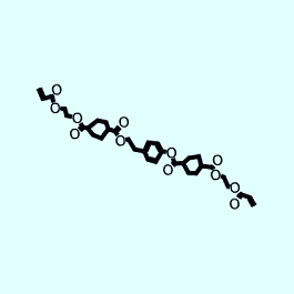 C=CC(=O)OCCOC(=O)C1CCC(C(=O)OCCc2ccc(OC(=O)C3CCC(C(=O)OCCOC(=O)C=C)CC3)cc2)CC1